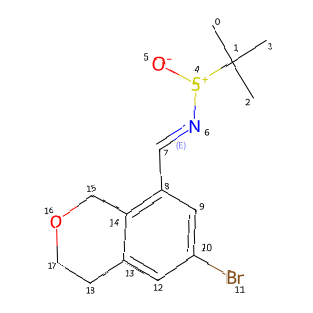 CC(C)(C)[S+]([O-])/N=C/c1cc(Br)cc2c1COCC2